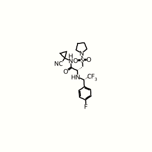 N#CC1(NC(=O)[C@H](CS(=O)(=O)N2CCCC2)N[C@@H](c2ccc(F)cc2)C(F)(F)F)CC1